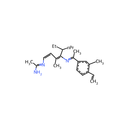 C=Cc1ccc(/C(C)=N/C(=C(C)/C=C\N=C(/C)N)C(CC)CCC)cc1C